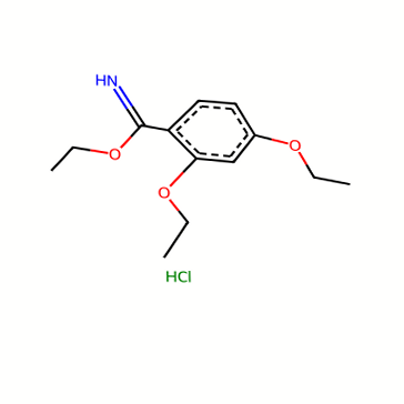 CCOC(=N)c1ccc(OCC)cc1OCC.Cl